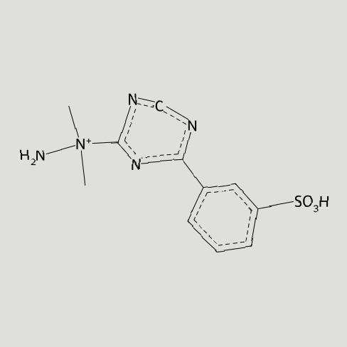 C[N+](C)(N)c1n[c]nc(-c2cccc(S(=O)(=O)O)c2)n1